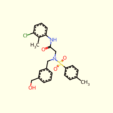 Cc1ccc(S(=O)(=O)N(CC(=O)Nc2cccc(Cl)c2C)Cc2cccc(CO)c2)cc1